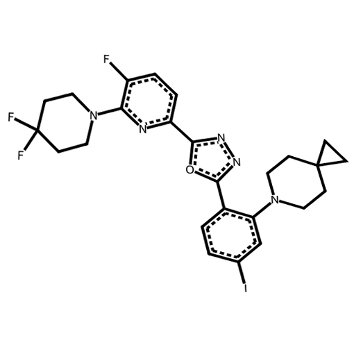 Fc1ccc(-c2nnc(-c3ccc(I)cc3N3CCC4(CC3)CC4)o2)nc1N1CCC(F)(F)CC1